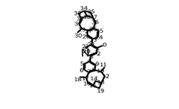 Cc1cc(-c2ccc3c(c2)C(C)CC2CC(=CC3C)C2)ncc1-c1ccc2c(c1)C(C)/C=C1/CC3CC2CC13